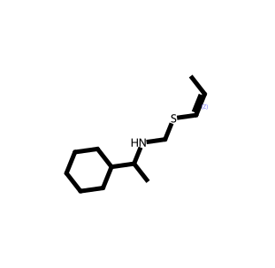 C/C=C\SCNC(C)C1CCCCC1